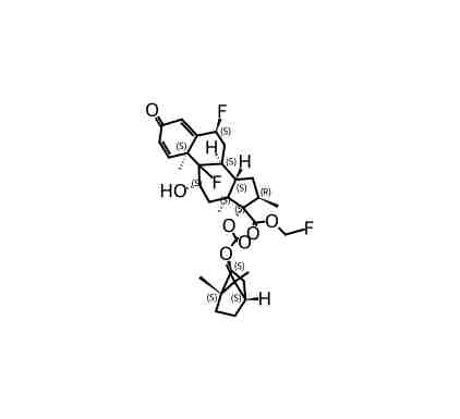 C[C@@H]1C[C@H]2[C@@H]3C[C@H](F)C4=CC(=O)C=C[C@]4(C)C3(F)[C@@H](O)C[C@]2(C)[C@]1(OC(=O)O[C@H]1C[C@@H]2CC[C@@]1(C)C2(C)C)C(=O)OCF